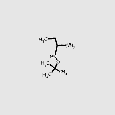 CCC(N)NOC(C)(C)C